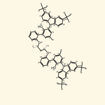 Cc1cc(-c2ccccc2O[C@@H](C)C[C@H](C)Oc2ccccc2-c2cc(C)cc(-n3c4ccc(C(C)(C)C)cc4c4cc(C(C)(C)C)ccc43)c2O)c(O)c(-n2c3ccc(C(C)(C)C)cc3c3cc(C(C)(C)C)ccc32)c1